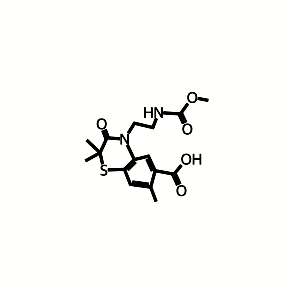 COC(=O)NCCN1C(=O)C(C)(C)Sc2cc(C)c(C(=O)O)cc21